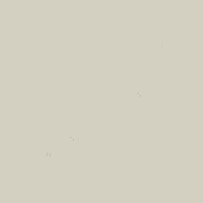 COc1cccc2cc(-c3cc(Cl)c(C4C[S+]([O-])C5(CCOCC5)C(=N)N4)s3)[nH]c12